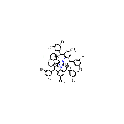 CCc1cc(CC)cc(C(C)c2cc(C)cc(C(C)c3cc(CC)cc(CC)c3)c2-n2c[n+](-c3c(C(C)c4cc(CC)cc(CC)c4)cc(C)cc3C(C)c3cc(CC)cc(CC)c3)c3c2-c2cccc4cccc-3c24)c1.[Cl-]